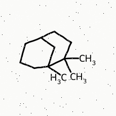 CC1(C)CCC2CCCC1(C)C2